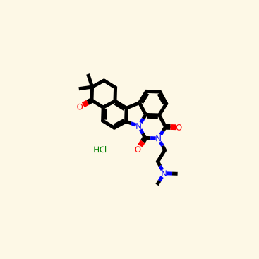 CN(C)CCn1c(=O)c2cccc3c4c5c(ccc4n(c1=O)c23)C(=O)C(C)(C)CC5.Cl